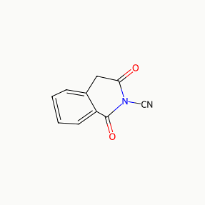 N#CN1C(=O)Cc2ccccc2C1=O